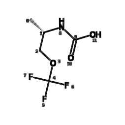 C[C@@H](COC(F)(F)F)NC(=O)O